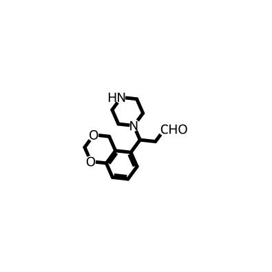 O=CCC(c1cccc2c1COCO2)N1CCNCC1